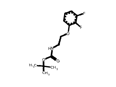 CC(C)(C)OC(=O)NCCOc1cccc(F)c1F